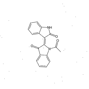 CC(=O)N1C(=C2C(=O)Nc3ccccc32)C(=O)c2ccccc21